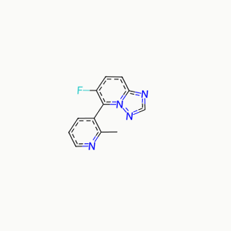 Cc1ncccc1-c1c(F)ccc2ncnn12